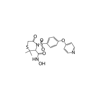 CC1(C)SCC(=O)N(S(=O)(=O)c2ccc(Oc3ccncc3)cc2)C1C(=O)NO